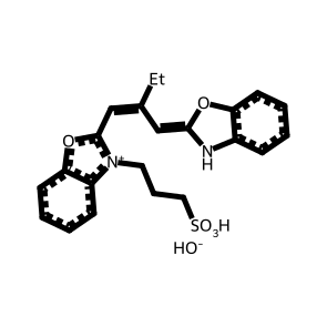 CCC(=Cc1oc2ccccc2[n+]1CCCS(=O)(=O)O)C=C1Nc2ccccc2O1.[OH-]